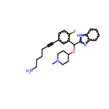 CN1CCC(OC(c2nc3ccccc3[nH]2)c2cc(C#CCCCCN)ccc2F)CC1